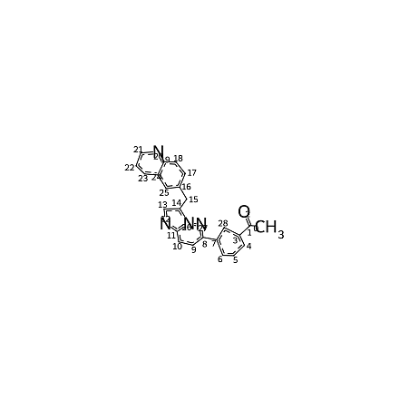 CC(=O)c1cccc(-c2ccc3ncc(Cc4ccc5ncccc5c4)n3n2)c1